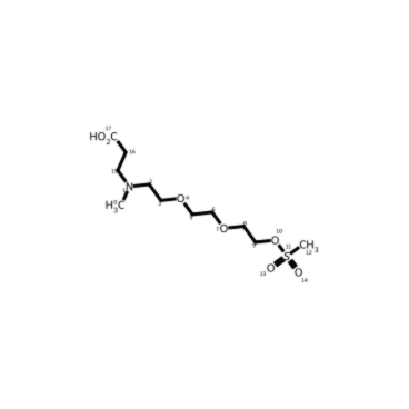 CN(CCOCCOCCOS(C)(=O)=O)CCC(=O)O